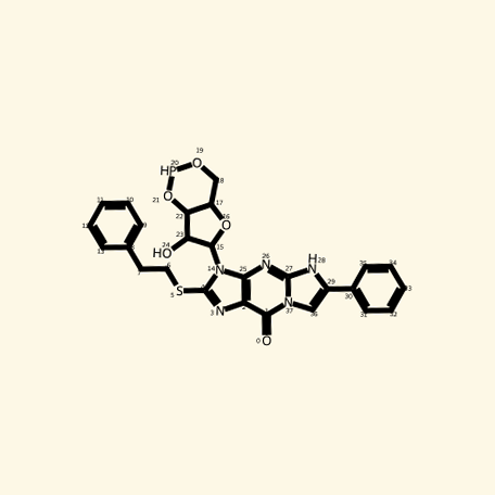 O=c1c2nc(SCCc3ccccc3)n(C3OC4COPOC4C3O)c2nc2[nH]c(-c3ccccc3)cn12